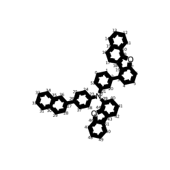 c1cc(-c2cccc3oc4c5ccccc5ccc4c23)cc(N(c2ccc(-c3ccc4ccccc4c3)cc2)c2cccc3c2oc2ccccc23)c1